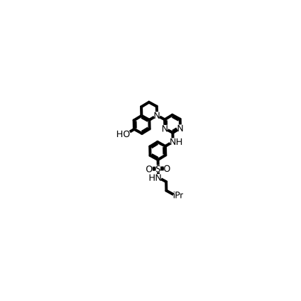 CC(C)CCNS(=O)(=O)c1cccc(Nc2nccc(N3CCCc4cc(O)ccc43)n2)c1